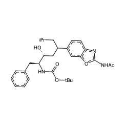 CC(=O)Nc1nc2ccc(C(CC(C)C)C[C@@H](O)[C@H](Cc3ccccc3)NC(=O)OC(C)(C)C)cc2o1